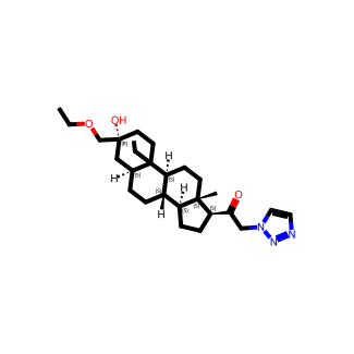 CCOC[C@@]1(O)CCC2(CC)[C@@H](CC[C@@H]3[C@@H]2CC[C@]2(C)[C@@H](C(=O)Cn4ccnn4)CC[C@@H]32)C1